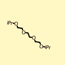 CC(C)OCCOCCOCCOC(C)C